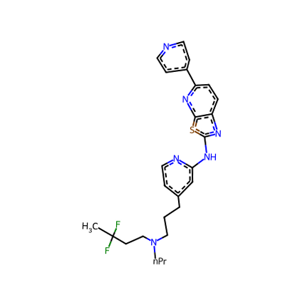 CCCN(CCCc1ccnc(Nc2nc3ccc(-c4ccncc4)nc3s2)c1)CCC(C)(F)F